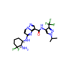 CC(C)n1cc(NC(=O)c2cnn3ccc(N[C@@H]4CCCC(F)(F)[C@@H]4N)nc23)c(C(F)(F)F)n1